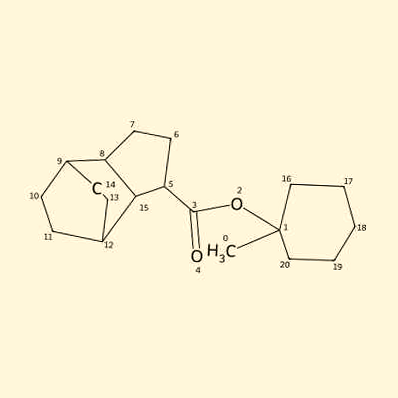 CC1(OC(=O)C2CCC3C4CCC(CC4)C23)CCCCC1